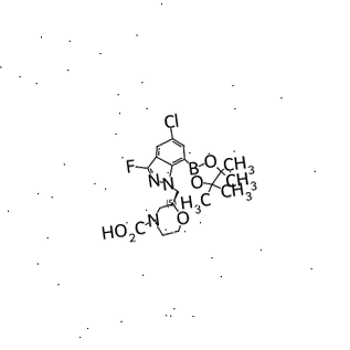 CC1(C)OB(c2cc(Cl)cc3c(F)nn(C[C@@H]4CN(C(=O)O)CCO4)c23)OC1(C)C